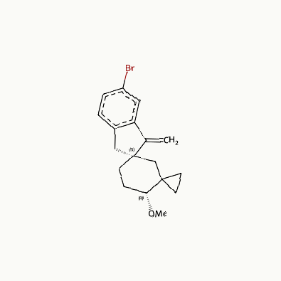 C=C1c2cc(Br)ccc2C[C@]12CC[C@@H](OC)C1(CC1)C2